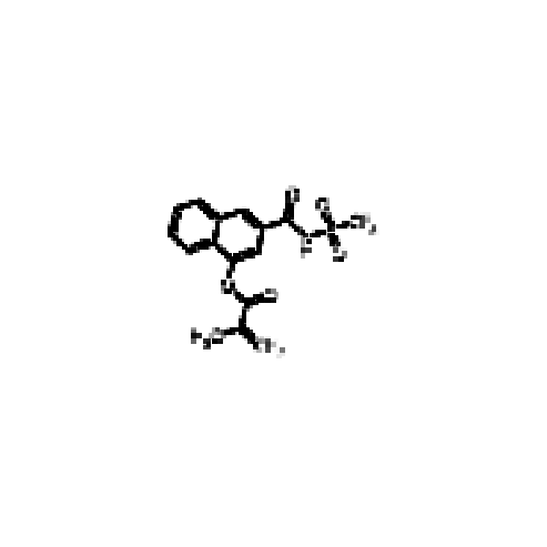 C=C(C)C(=O)Oc1cc(C(=O)NS(=O)(=O)C(F)(F)F)cc2ccccc12